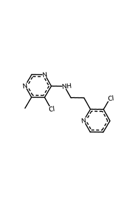 Cc1ncnc(NCCc2ncccc2Cl)c1Cl